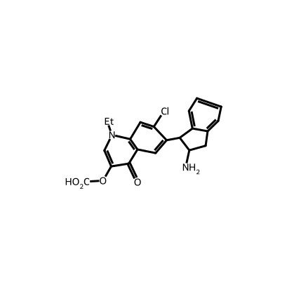 CCn1cc(OC(=O)O)c(=O)c2cc(C3c4ccccc4CC3N)c(Cl)cc21